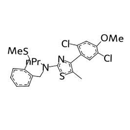 CCCN(Cc1ccccc1CSC)c1nc(-c2cc(Cl)c(OC)cc2Cl)c(C)s1